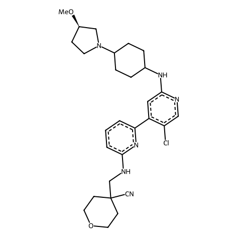 CO[C@@H]1CCN(C2CCC(Nc3cc(-c4cccc(NCC5(C#N)CCOCC5)n4)c(Cl)cn3)CC2)C1